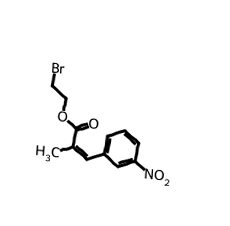 C/C(=C/c1cccc([N+](=O)[O-])c1)C(=O)OCCBr